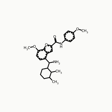 COc1ccc(NC(=O)c2cc3c(C(N)C4CCCC(C)C4C)ccc(OC)c3o2)cc1